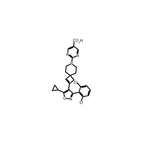 O=C(O)c1cnc(N2CCC3(C=C(c4c(-c5c(Cl)cccc5Cl)noc4C4CC4)C3)CC2)nc1